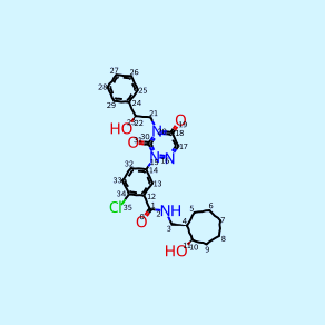 O=C(NC[C@H]1CCCCC[C@H]1O)c1cc(-n2ncc(=O)n(C[C@@H](O)c3ccccc3)c2=O)ccc1Cl